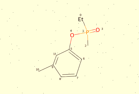 CCP(C)(=O)Oc1cccc(C)c1